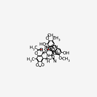 COc1cc2c(cc1O)CCN[C@]21CS[C@@H]2c3c(OC(C)=O)c(C)c4c(c3[C@H](COC1O)N1C2[C@@H]2c3c(cc(C)c(OC)c3O)C[C@@H]([C@@H]1C#N)N2C)OCO4